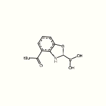 CC(C)(C)C(=O)c1cccc2c1NC(B(O)O)O2